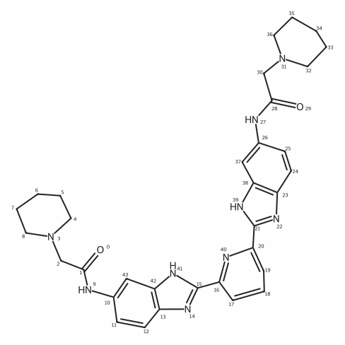 O=C(CN1CCCCC1)Nc1ccc2nc(-c3cccc(-c4nc5ccc(NC(=O)CN6CCCCC6)cc5[nH]4)n3)[nH]c2c1